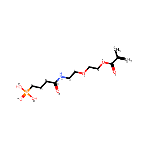 C=C(C)C(=O)OCCOCCNC(=O)CCCP(=O)(O)O